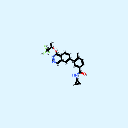 Cc1ccc(C(=O)NC2CC2)cc1-c1ccc2c(OC(C)C(F)(F)F)nncc2c1